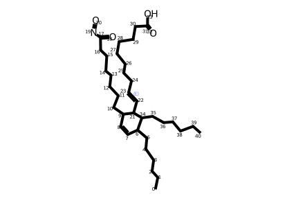 CCCCCCC1C=CC(CCCCCCCC(=O)N=O)C(/C=C/CCCCCCCC(=O)O)C1CCCCCC